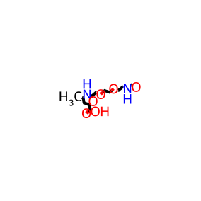 CC(CCC(=O)O)NC(=O)COCCOCCNC=O